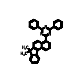 CC1(C)c2ccccc2-c2c1ccc1c(-c3nc(-c4ccccc4)nc(-c4ccccc4)n3)cccc21